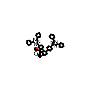 c1ccc(-c2nc(-c3ccccc3)nc(-c3ccc(-c4cccc5c4-c4ccc(-c6nc(-c7ccccc7)nc(-c7ccccc7)n6)cc4C54c5ccccc5Oc5ccccc54)cc3)n2)cc1